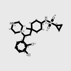 CC1(CC(c2cccc(Cl)c2Cl)N2CCNCC2)CCC(NS(=O)(=O)C2CC2)CC1